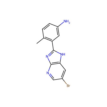 Cc1ccc(N)cc1-c1nc2ncc(Br)cc2[nH]1